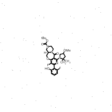 COC1CN(c2nc(-c3c(O)cccc3F)c(F)c3c2C(=O)N2CCN(C(=O)OC(C)(C)C)C[C@@H]2CO3)C(C)(C)C1